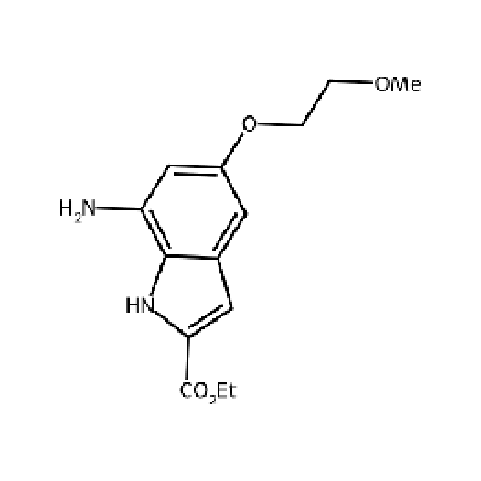 CCOC(=O)c1cc2cc(OCCOC)cc(N)c2[nH]1